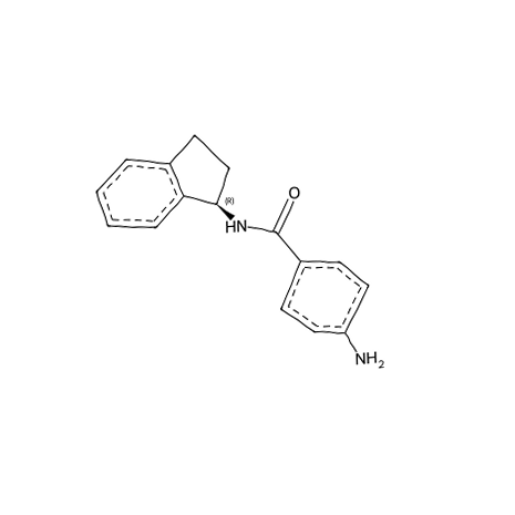 Nc1ccc(C(=O)N[C@@H]2CCc3ccccc32)cc1